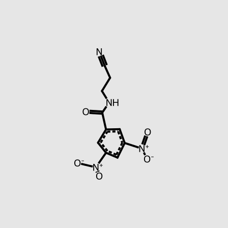 N#CCCNC(=O)c1cc([N+](=O)[O-])cc([N+](=O)[O-])c1